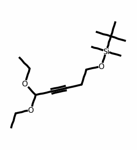 CCOC(C#CCCO[Si](C)(C)C(C)(C)C)OCC